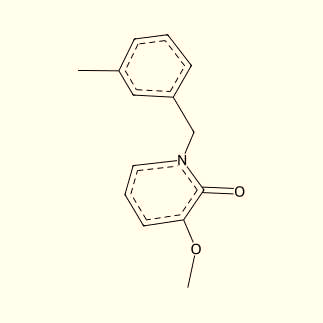 COc1cccn(Cc2cccc(C)c2)c1=O